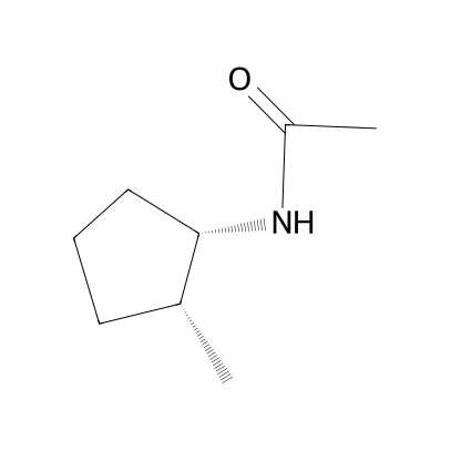 CC(=O)N[C@H]1CCC[C@H]1C